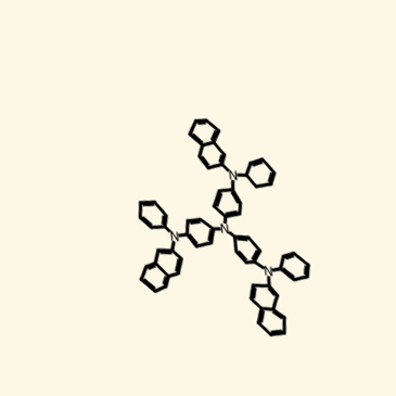 C1=CCC(N(c2ccc(N(c3ccc(N(c4ccccc4)c4ccc5ccccc5c4)cc3)c3ccc(N(c4ccccc4)c4ccc5ccccc5c4)cc3)cc2)c2ccc3ccccc3c2)C=C1